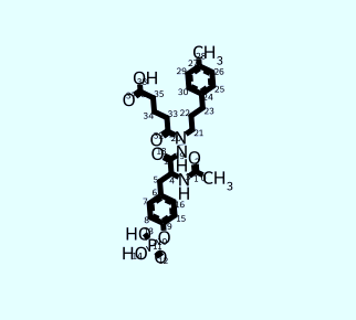 CC(=O)NC(Cc1ccc(OP(=O)(O)O)cc1)C(=O)NN(CCCc1ccc(C)cc1)C(=O)CCCC(=O)O